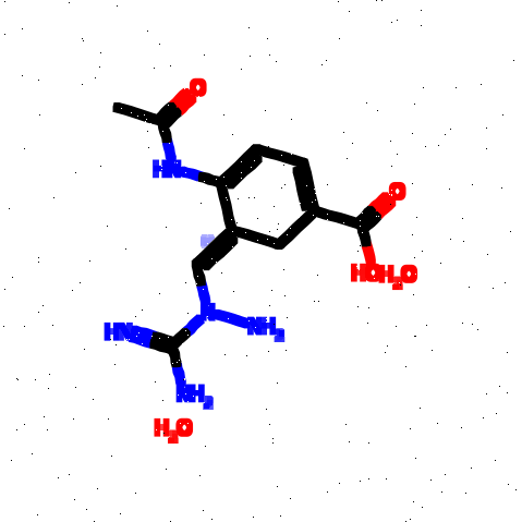 CC(=O)NC1=CC=C(C(=O)O)C/C1=C\N(N)C(=N)N.O.O